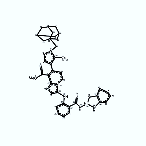 COC(=O)c1c(-c2cnn(CC34CC5CC(CC(C5)C3)C4)c2C)ccn2c(Nc3cnccc3C(=O)N[SH]3Nc4ccccc4S3)cnc12